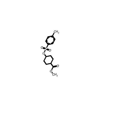 COC(=O)C1CCC(OS(=O)(=O)c2ccc(C)cc2)CC1